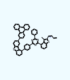 C=C/C=C\c1sc2cccc(-c3nc(-c4ccccc4)nc(-c4ccc(-c5cccc6sc7ccc(-c8ccc9c%10ccccc%10c%10ccccc%10c9c8)cc7c56)cc4)n3)c2c1C